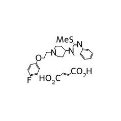 CSC(=Nc1ccccc1)N(C)C1CCN(CCOc2ccc(F)cc2)CC1.O=C(O)C=CC(=O)O